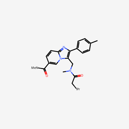 CNC(=O)c1ccc2nc(-c3ccc(C)cc3)c(CN(C)C(=O)CC(C)C)n2c1